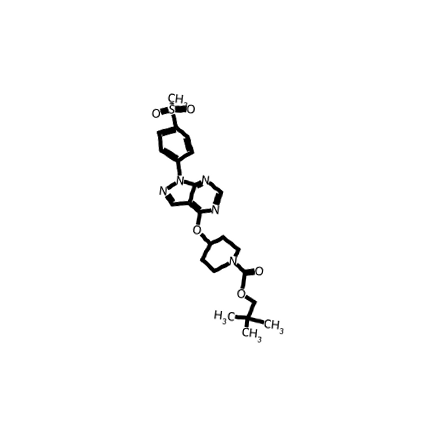 CC(C)(C)COC(=O)N1CCC(Oc2ncnc3c2cnn3-c2ccc(S(C)(=O)=O)cc2)CC1